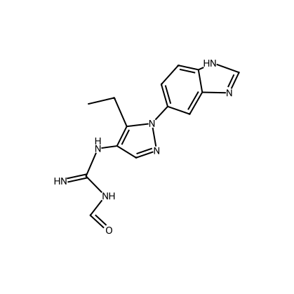 CCc1c(NC(=N)NC=O)cnn1-c1ccc2[nH]cnc2c1